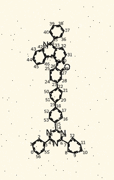 c1ccc(-c2nc(-c3ccccc3)nc(-c3ccc(-c4ccc(-c5ccc6c(c5)oc5ccc7c(-c8ccccc8)nc8ccccc8c7c56)cc4)cc3)n2)cc1